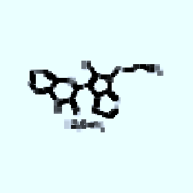 CC(=O)O.CCc1c(-c2nc3ccccc3[nH]c2=O)c2ccccc2n1CCCN